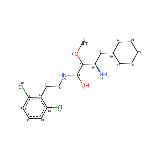 CC(C)OC(C(O)NCCc1c(Cl)cccc1Cl)[C@H](N)CC1CCCCC1